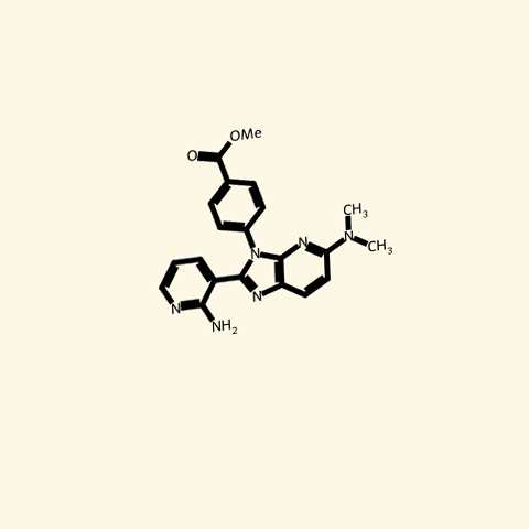 COC(=O)c1ccc(-n2c(-c3cccnc3N)nc3ccc(N(C)C)nc32)cc1